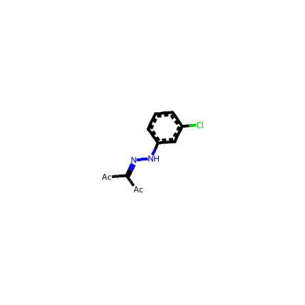 CC(=O)C(=NNc1cccc(Cl)c1)C(C)=O